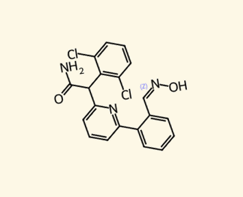 NC(=O)C(c1cccc(-c2ccccc2/C=N\O)n1)c1c(Cl)cccc1Cl